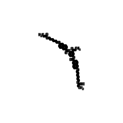 C=CC(=O)OCCCCCCOc1ccc2cc(C(=O)Oc3ccc(OC(=O)c4ccc5cc(OCCCCCCOC(O)C=C)ccc5c4)cc3C(=O)CC)ccc2c1